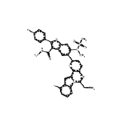 CNC(=O)c1c(-c2ccc(F)cc2)oc2cc(N(C)S(C)(=O)=O)c(-c3ccc4nc(CN)n5c6cccc(F)c6cc5c4n3)cc12